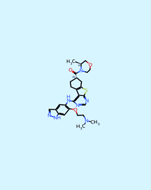 C[C@H]1COCCN1C(=O)[C@H]1CCc2c(sc3ncnc(Nc4cc5cn[nH]c5cc4OCCN(C)C)c23)C1